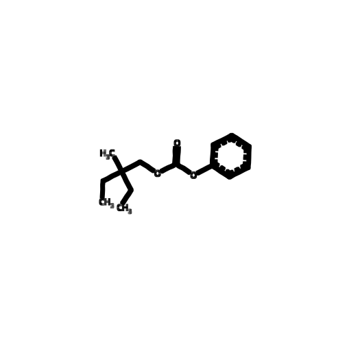 CCC(C)(CC)COC(=O)Oc1ccccc1